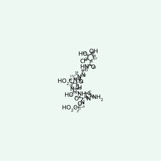 CC(C)(O/N=C(\C(=O)NC1C(O)N2C[C@@](C(=O)O)(N3CCN(/N=C/CNC(=O)c4ccc(O)c(O)c4Cl)C3=O)S[C@H]12)c1csc(N)n1)C(=O)O